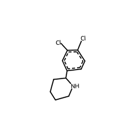 Clc1ccc(C2CCCCN2)cc1Cl